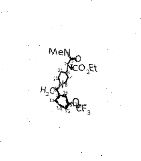 CCOC(=O)N(CC(=O)NC)C1CCN(C(C)c2cccc(OC(F)(F)F)c2)CC1